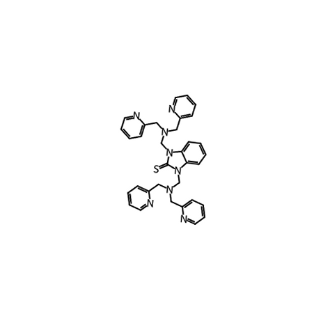 S=c1n(CN(Cc2ccccn2)Cc2ccccn2)c2ccccc2n1CN(Cc1ccccn1)Cc1ccccn1